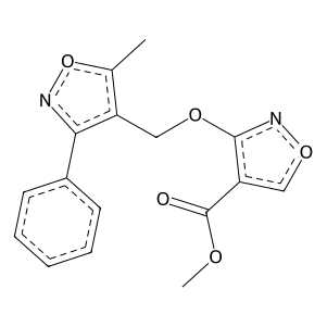 COC(=O)c1conc1OCc1c(-c2ccccc2)noc1C